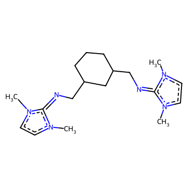 Cn1ccn(C)c1=NCC1CCCC(CN=c2n(C)ccn2C)C1